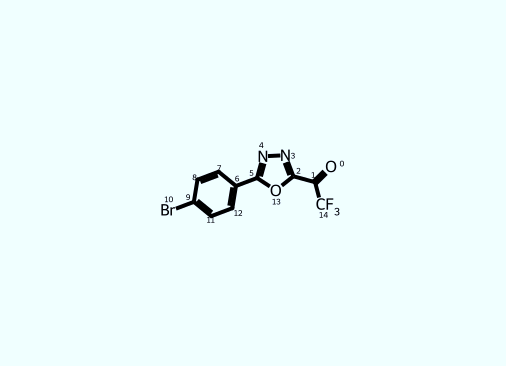 O=C(c1nnc(-c2ccc(Br)cc2)o1)C(F)(F)F